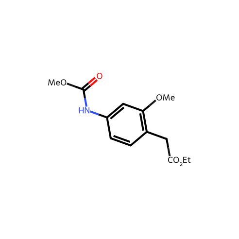 CCOC(=O)Cc1ccc(NC(=O)OC)cc1OC